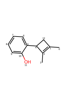 CC1=C(C)C(c2ccccc2O)C1